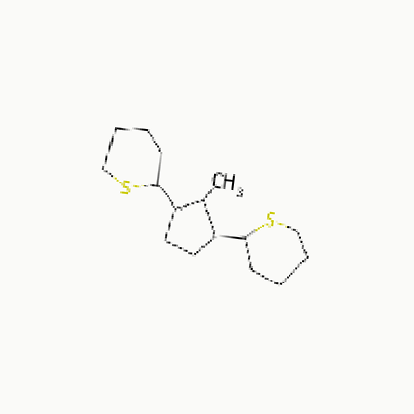 CC1[C](C2CCCCS2)CCC1C1CCCCS1